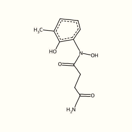 Cc1cccc(N(O)C(=O)CCC(N)=O)c1O